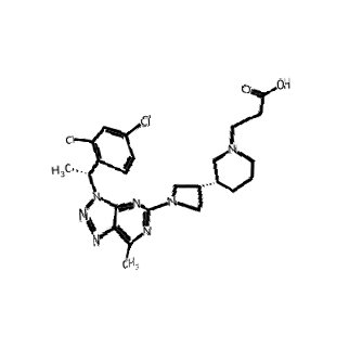 Cc1nc(N2CC([C@H]3CCCN(CCC(=O)O)C3)C2)nc2c1nnn2[C@H](C)c1ccc(Cl)cc1Cl